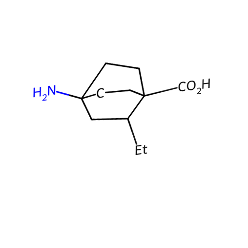 CCC1CC2(N)CCC1(C(=O)O)CC2